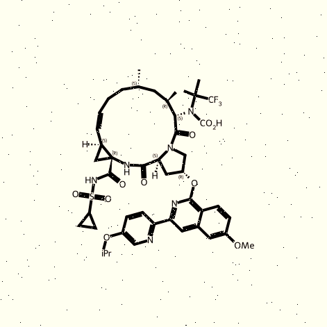 COc1ccc2c(O[C@@H]3C[C@H]4C(=O)N[C@]5(C(=O)NS(=O)(=O)C6CC6)C[C@H]5C=CCC[C@H](C)C[C@@H](C)[C@H](N(C(=O)O)C(C)(C)C(F)(F)F)C(=O)N4C3)nc(-c3ccc(OC(C)C)cn3)cc2c1